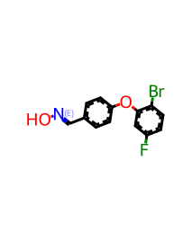 O/N=C/c1ccc(Oc2cc(F)ccc2Br)cc1